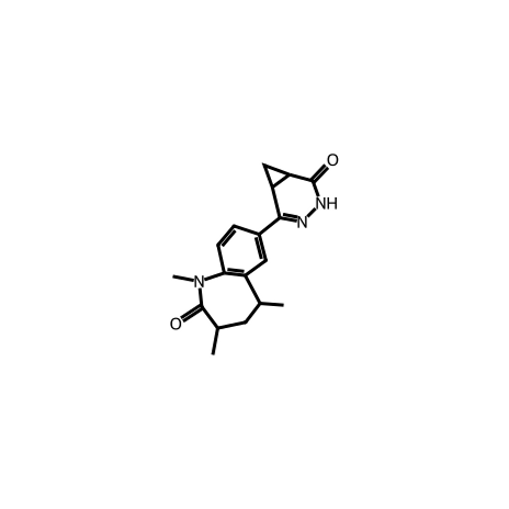 CC1CC(C)c2cc(C3=NNC(=O)C4CC34)ccc2N(C)C1=O